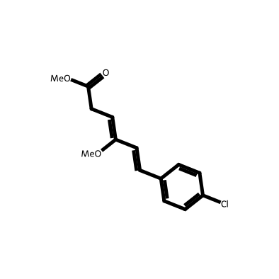 COC(=O)C/C=C(/C=C/c1ccc(Cl)cc1)OC